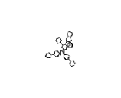 c1ccc(-c2ccc(N(c3ccc(-c4ccccc4)cc3)c3cc(-c4ccccc4)c4c(c3)oc3cc5ccccc5cc34)cc2)cc1